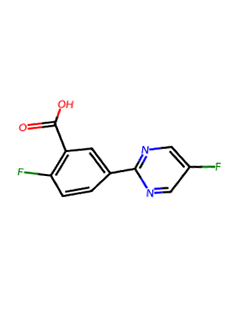 O=C(O)c1cc(-c2ncc(F)cn2)ccc1F